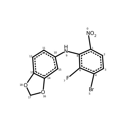 O=[N+]([O-])c1ccc(Br)c(F)c1Nc1ccc2c(c1)OCO2